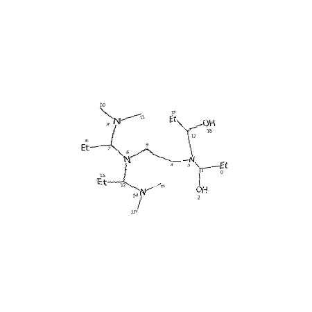 CCC(O)N(CCN(C(CC)N(C)C)C(CC)N(C)C)C(O)CC